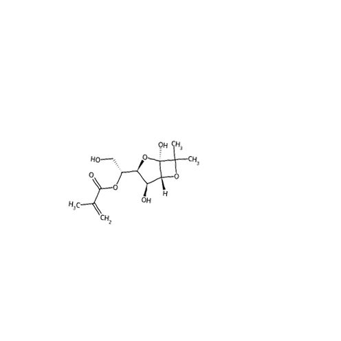 C=C(C)C(=O)O[C@H](CO)[C@H]1O[C@]2(O)[C@H](OC2(C)C)[C@H]1O